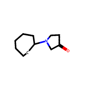 O=C1CCN(C2CCCCCC2)C1